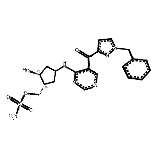 NS(=O)(=O)OC[C@H]1CC(Nc2ncncc2C(=O)c2ccn(Cc3ccccc3)n2)C[C@@H]1O